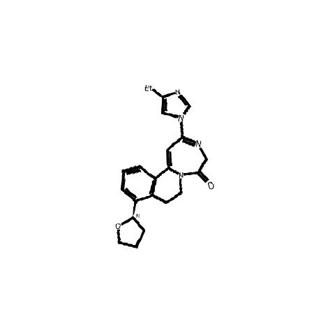 CCc1cn(C2=NCC(=O)N3CCc4c(cccc4[C@H]4CCCO4)C3=C2)cn1